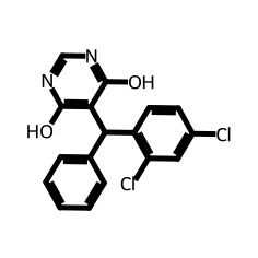 Oc1ncnc(O)c1C(c1ccccc1)c1ccc(Cl)cc1Cl